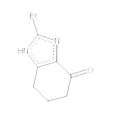 CCc1nc2c([nH]1)CCCC2=O